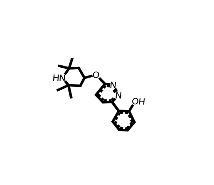 CC1(C)CC(Oc2ccc(-c3ccccc3O)nn2)CC(C)(C)N1